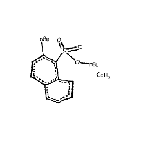 CCCCOS(=O)(=O)c1c(CCCC)ccc2ccccc12.[CaH2]